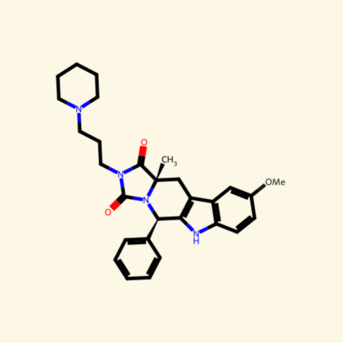 COc1ccc2[nH]c3c(c2c1)C[C@@]1(C)C(=O)N(CCCN2CCCCC2)C(=O)N1[C@@H]3c1ccccc1